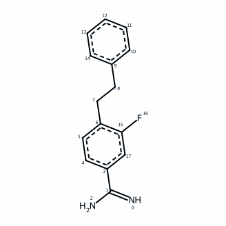 N=C(N)c1ccc(C[CH]c2ccccc2)c(F)c1